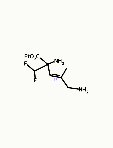 CCOC(=O)C(N)(/C=C(\C)CN)C(F)F